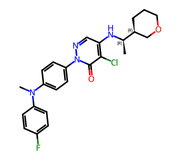 C[C@@H](Nc1cnn(-c2ccc(N(C)c3ccc(F)cc3)cc2)c(=O)c1Cl)[C@H]1CCCOC1